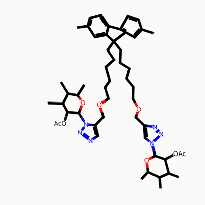 CC(=O)OC1C(C)C(C)C(C)OC1n1cc(COCCCCCCC2(CCCCCCOCc3cnnn3C3OC(C)C(C)C(C)C3OC(C)=O)c3cc(C)ccc3-c3ccc(C)cc32)nn1